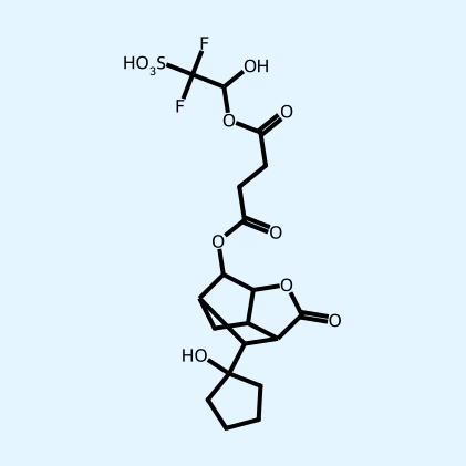 O=C(CCC(=O)OC(O)C(F)(F)S(=O)(=O)O)OC1C2CC3C1OC(=O)C3C2C1(O)CCCC1